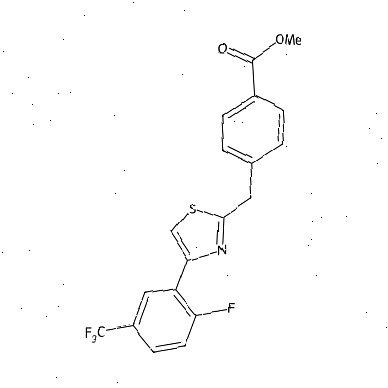 COC(=O)c1ccc(Cc2nc(-c3cc(C(F)(F)F)ccc3F)cs2)cc1